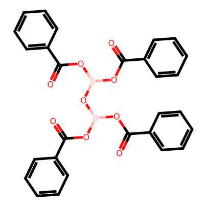 O=C(OB(OB(OC(=O)c1ccccc1)OC(=O)c1ccccc1)OC(=O)c1ccccc1)c1ccccc1